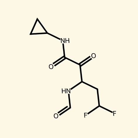 O=CNC(CC(F)F)C(=O)C(=O)NC1CC1